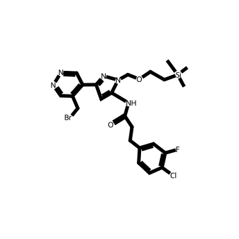 C[Si](C)(C)CCOCn1nc(-c2cnncc2CBr)cc1NC(=O)CCc1ccc(Cl)c(F)c1